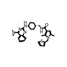 Cc1cc(C(=O)NC[C@H]2CC[C@@H](Nc3nc(N(C)C)c4ccccc4n3)CC2)c(C)n1Cc1cccs1